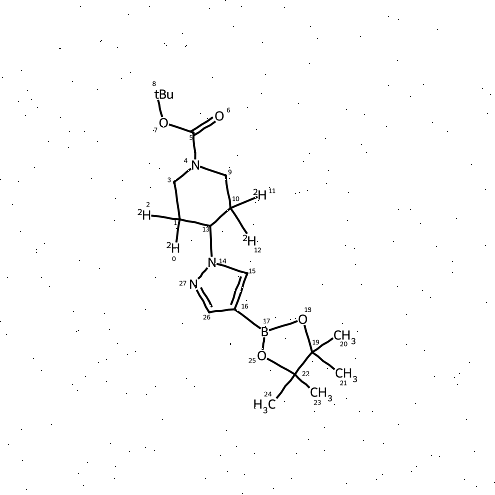 [2H]C1([2H])CN(C(=O)OC(C)(C)C)CC([2H])([2H])C1n1cc(B2OC(C)(C)C(C)(C)O2)cn1